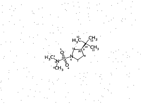 CN(C)S(=O)(=O)N1CC[C@H](C(C)(C)C)C1